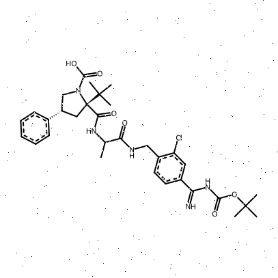 CC(NC(=O)[C@]1(C(C)(C)C)C[C@H](c2ccccc2)CN1C(=O)O)C(=O)NCc1ccc(C(=N)NC(=O)OC(C)(C)C)cc1Cl